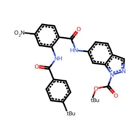 CC(C)(C)OC(=O)n1ncc2ccc(NC(=O)c3ccc([N+](=O)[O-])cc3NC(=O)c3ccc(C(C)(C)C)cc3)cc21